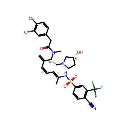 C=C(/C=C\C=C(/C)NS(=O)(=O)c1ccc(C#N)c(C(F)(F)F)c1)[C@@H](CN1CC[C@@H](O)C1)N(C)C(=O)Cc1ccc(Cl)c(Cl)c1